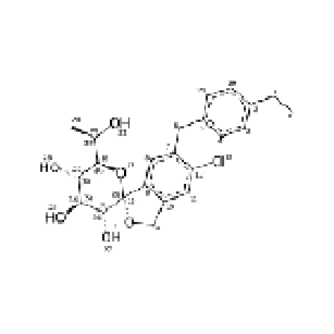 CCc1ccc(Cc2cc3c(cc2Cl)CO[C@]32O[C@H]([C@@H](C)O)[C@@H](O)[C@H](O)[C@H]2O)cc1